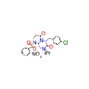 CC(C)N1CC2N(C(=O)CCN2S(=O)(=O)c2ccccc2[N+](=O)[O-])C(Cc2ccc(Cl)cc2)C1=O